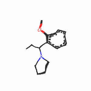 CCC(c1cc[c]cc1OC)N1CCCC1